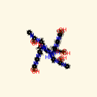 CCCOc1cc(N=Nc2ccc(N=Nc3ccccc3)cc2S(=O)(=O)O)c(C)cc1Cc1nc(Cc2ccc(N=Nc3ccc(N=Nc4ccc(S(=O)(=O)O)cc4)cc3)c(C)c2)nc(N2CCN(c3nc(Nc4ccc(N=Nc5ccc(N=Nc6ccccc6)cc5S(=O)(=O)O)c(C)c4)nc(Nc4cc(C)c(N=Nc5ccc(N=Nc6ccc(S(=O)(=O)O)cc6)cc5)cc4OCCCS(=O)(=O)O)n3)CC2)n1